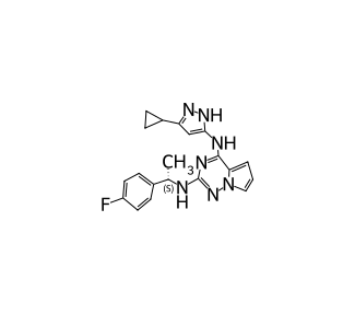 C[C@H](Nc1nc(Nc2cc(C3CC3)n[nH]2)c2cccn2n1)c1ccc(F)cc1